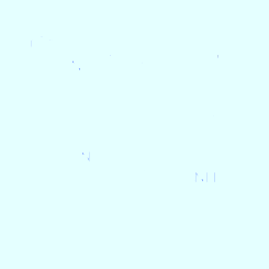 CCCN(C1CC1)[C@H]1CCCN(c2c(F)ccc3[nH]c4cc(C(F)(F)F)ccc4c23)C1